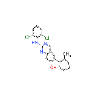 Cc1ccccc1-c1cc2cnc(Nc3c(Cl)cccc3Cl)nc2cc1O